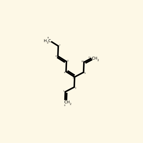 C=CCC(=CC=CCC)CC=C